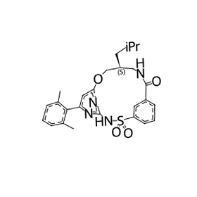 Cc1cccc(C)c1-c1cc2nc(n1)NS(=O)(=O)c1cccc(c1)C(=O)NC[C@H](CC(C)C)CO2